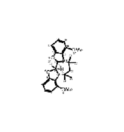 COc1cccc2c1[P@@]1[C@H](O2)[C@H]2Oc3cccc(OC)c3[P@]2C(C)(C)CC1(C)C